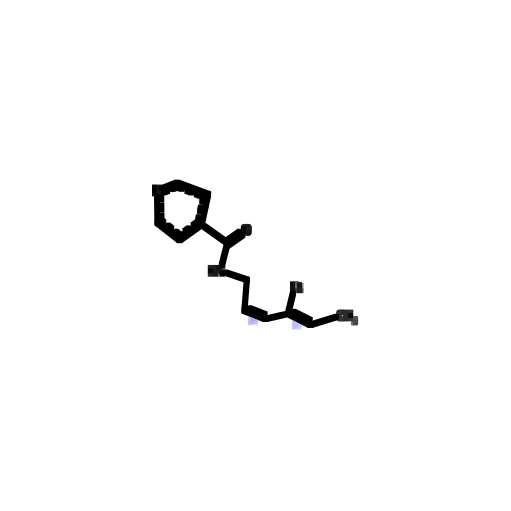 C/C=C(/C=C\CNC(=O)c1ccncc1)CC